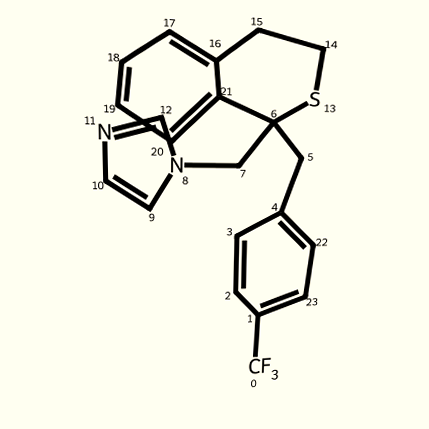 FC(F)(F)c1ccc(CC2(Cn3ccnc3)SCCc3ccccc32)cc1